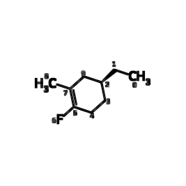 CC[C@H]1CCC(F)=C(C)C1